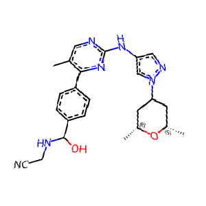 Cc1cnc(Nc2cnn(C3C[C@@H](C)O[C@@H](C)C3)c2)nc1-c1ccc(C(O)NCC#N)cc1